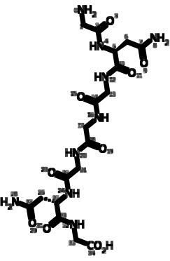 NCC(=O)N[C@@H](CC(N)=O)C(=O)NCC(=O)NCC(=O)NCC(=O)N[C@@H](CC(N)=O)C(=O)NCC(=O)O